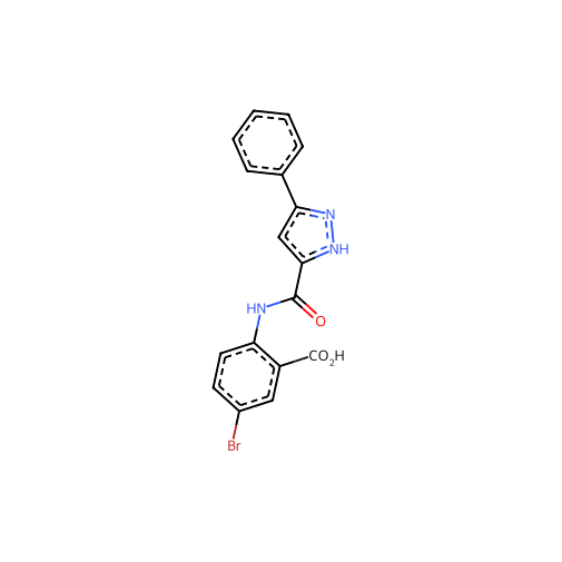 O=C(Nc1ccc(Br)cc1C(=O)O)c1cc(-c2ccccc2)n[nH]1